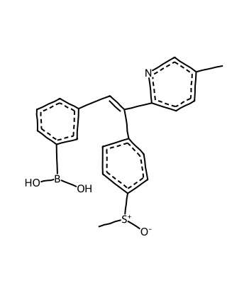 Cc1ccc(C(=Cc2cccc(B(O)O)c2)c2ccc([S+](C)[O-])cc2)nc1